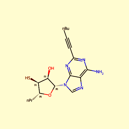 CCCCC#Cc1nc(N)c2ncn([C@@H]3O[C@H](CCC)[C@@H](S)[C@H]3O)c2n1